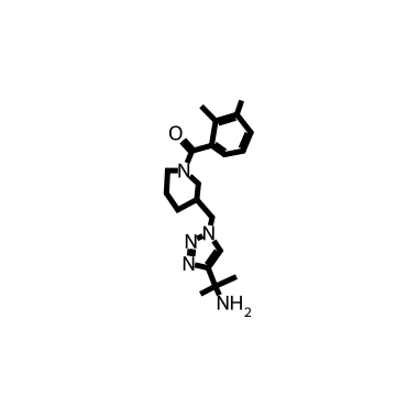 Cc1cccc(C(=O)N2CCCC(Cn3cc(C(C)(C)N)nn3)C2)c1C